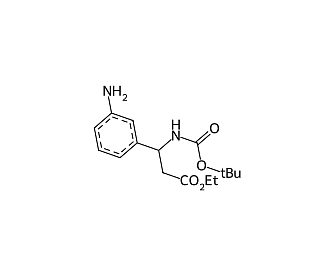 CCOC(=O)CC(NC(=O)OC(C)(C)C)c1cccc(N)c1